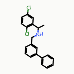 CC(NCc1cccc(-c2ccccc2)c1)c1cc(Cl)ccc1Cl